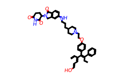 C=CC(=C\C=C\O)/C(=C(\CC)c1ccccc1)c1ccc(OCCN2CCC(CCCNc3ccc4c(c3)CN(C3CCC(=O)NC3=O)C4=O)CC2)cc1